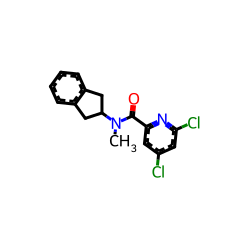 CN(C(=O)c1cc(Cl)cc(Cl)n1)C1Cc2ccccc2C1